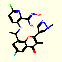 Cc1c(-c2cnn(C)c2)oc2c(C(C)Nc3ccc(Cl)nc3/C(N)=N/O)cc(F)cc2c1=O